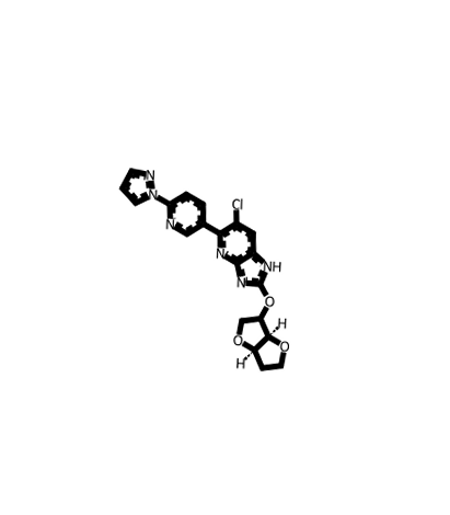 Clc1cc2[nH]c(OC3CO[C@@H]4CCO[C@H]34)nc2nc1-c1ccc(-n2cccn2)nc1